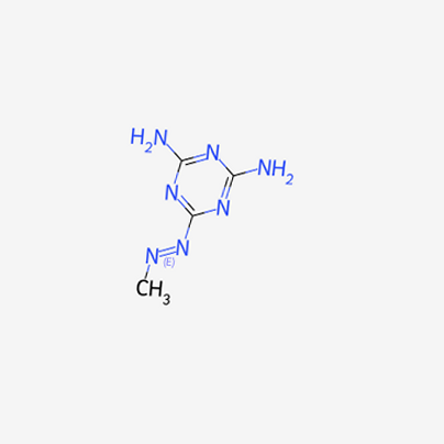 C/N=N/c1nc(N)nc(N)n1